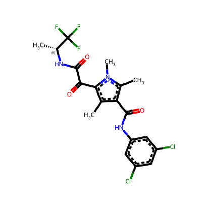 Cc1c(C(=O)Nc2cc(Cl)cc(Cl)c2)c(C)n(C)c1C(=O)C(=O)N[C@H](C)C(F)(F)F